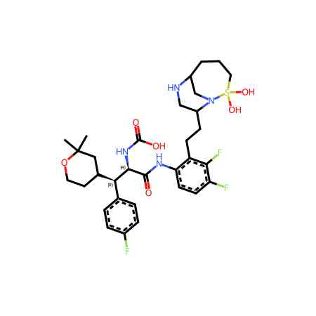 CC1(C)CC([C@H](c2ccc(F)cc2)[C@@H](NC(=O)O)C(=O)Nc2ccc(F)c(F)c2CCC2CNC3CCCS(O)(O)N2C3)CCO1